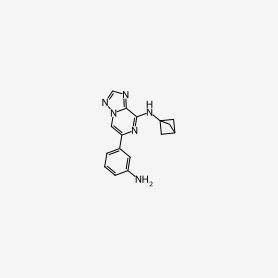 Nc1cccc(-c2cn3ncnc3c(NC34CC(C3)C4)n2)c1